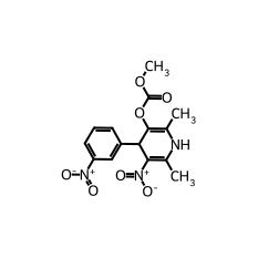 COC(=O)OC1=C(C)NC(C)=C([N+](=O)[O-])C1c1cccc([N+](=O)[O-])c1